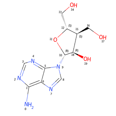 Nc1ncnc2c1ncn2[C@@H]1O[C@H](CO)[C@@H](CO)[C@H]1O